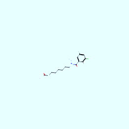 NN(CCCCCCCC(=O)O)C(=O)c1cc(Cl)cc(Cl)c1O